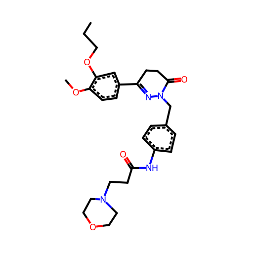 CCCOc1cc(C2=NN(Cc3ccc(NC(=O)CCN4CCOCC4)cc3)C(=O)CC2)ccc1OC